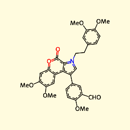 COc1ccc(-c2cn(CCc3ccc(OC)c(OC)c3)c3c(=O)oc4cc(OC)c(OC)cc4c23)cc1C=O